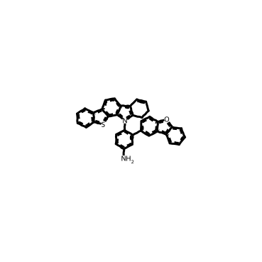 Nc1ccc(-n2c3c(c4ccc5c6ccccc6sc5c42)C=CCC3)c(-c2ccc3oc4ccccc4c3c2)c1